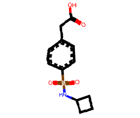 O=C(O)Cc1ccc(S(=O)(=O)NC2CCC2)cc1